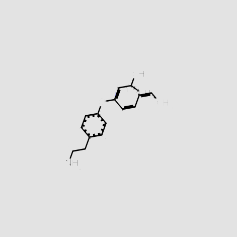 C\C=C(O)/C=C\C(=C/C(C)C)Oc1ccc(CCN)cc1